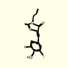 CCCN1C(=O)/C(=C/c2cc(F)c(O)c(I)c2)N=C1C